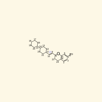 Fc1ccc2c(c1)OC(/C=C/C1CCC(C3CCCCC3)CC1)CC2